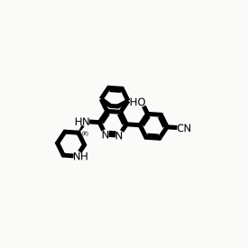 N#Cc1ccc(-c2nnc(N[C@@H]3CCCNC3)c3c2C2C=CC3CC2)c(O)c1